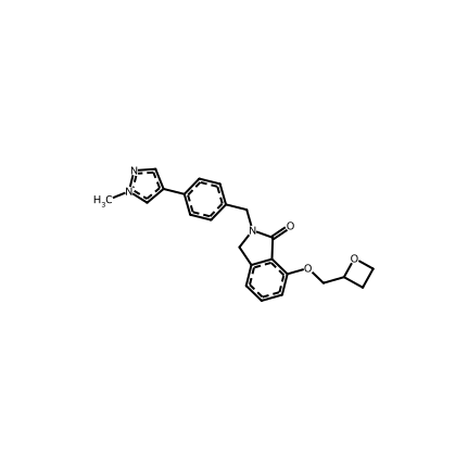 Cn1cc(-c2ccc(CN3Cc4cccc(OCC5CCO5)c4C3=O)cc2)cn1